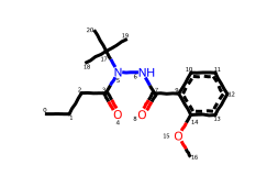 CCCC(=O)N(NC(=O)c1ccccc1OC)C(C)(C)C